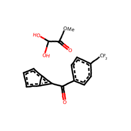 COC(=O)C(O)O.O=C(c1ccc(C(F)(F)F)cc1)c1c2cccc1-2